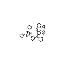 c1ccc(-c2nc(-c3ccccc3)nc(-c3cccc(-n4c5ccccc5c5cc6c(cc54)Sc4ccccc4C64c5ccccc5-c5ccccc54)c3)n2)cc1